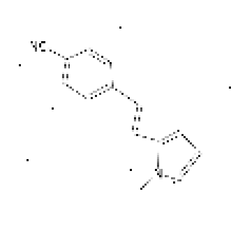 Cn1cccc1/C=C/c1ccc(C#N)cc1